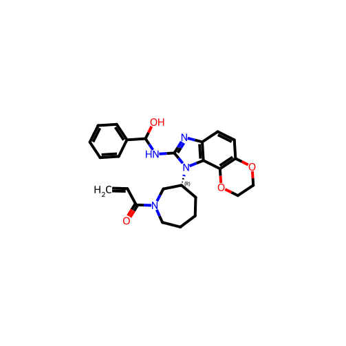 C=CC(=O)N1CCCC[C@@H](n2c(NC(O)c3ccccc3)nc3ccc4c(c32)OCCO4)C1